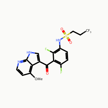 COc1ccnc2[nH]cc(C(=O)c3c(F)ccc(NS(=O)(=O)CCC(F)(F)F)c3F)c12